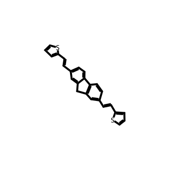 C(=C\c1cccs1)/c1ccc2c(c1)Cc1cc(/C=C/c3cccs3)ccc1-2